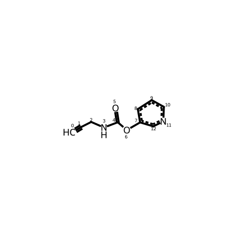 C#CCNC(=O)Oc1cccnc1